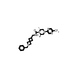 C[C@@H]1CN(c2cnc(C(F)(F)F)cn2)C[C@@H](C)N1C(=O)NCC1CC2(C1)CN(Cc1ccccc1)C2